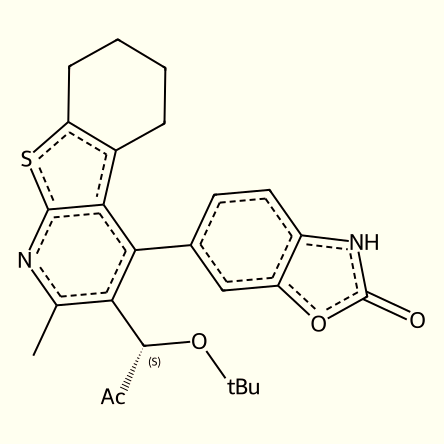 CC(=O)[C@@H](OC(C)(C)C)c1c(C)nc2sc3c(c2c1-c1ccc2[nH]c(=O)oc2c1)CCCC3